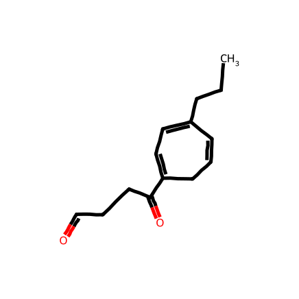 CCCC1=CC=C(C(=O)CCC=O)CC=C1